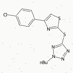 CCCCn1nnc(Sc2nc(-c3ccc(Cl)cc3)cs2)n1